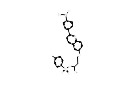 CCN(CC)c1ccc(-c2ccc3cc(OCCC(O)OS(=O)(=O)c4ccc(C)cc4)ccc3n2)cc1